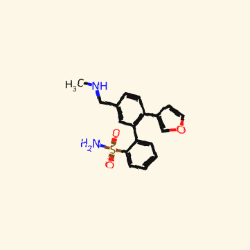 CNCc1ccc(-c2ccoc2)c(-c2ccccc2S(N)(=O)=O)c1